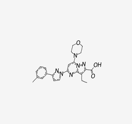 CCc1c(C(=O)O)nn2c(N3CCOCC3)cc(-n3ccc(-c4cccc(C)c4)n3)nc12